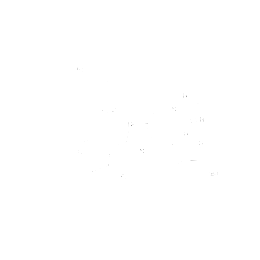 CC(C)(C)c1nnc(-c2nc(-c3ccccc3Cl)n(-c3ccc(Br)cc3)c2Cn2cncn2)s1